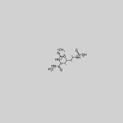 CNC(=O)C(CCCCNC(=O)O)NC(=O)OC